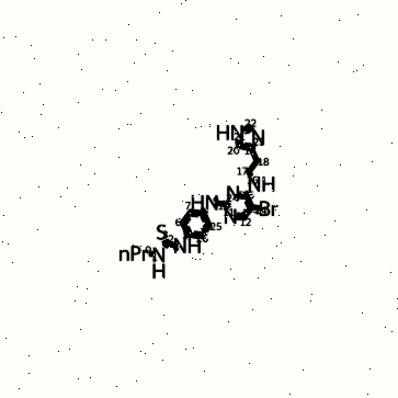 CCCNC(=S)Nc1ccc(Nc2ncc(Br)c(NCCc3c[nH]cn3)n2)cc1